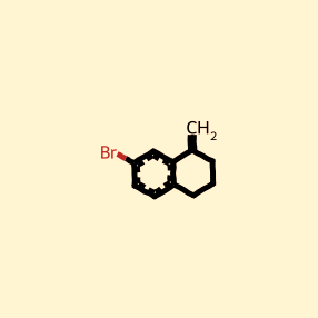 C=C1CCCc2ccc(Br)cc21